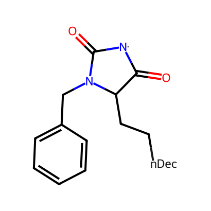 CCCCCCCCCCCCC1C(=O)[N]C(=O)N1Cc1ccccc1